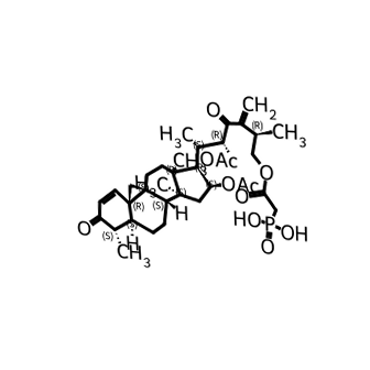 C=C(C(=O)[C@H](OC(C)=O)[C@@H](C)[C@H]1[C@@H](OC(C)=O)C[C@@]2(C)[C@@H]3CC[C@H]4[C@H](C)C(=O)C=C[C@@]45C[C@@]35CC[C@]12C)[C@@H](C)COC(=O)CP(=O)(O)O